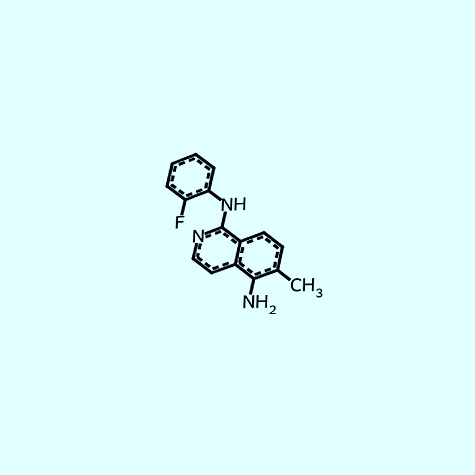 Cc1ccc2c(Nc3ccccc3F)nccc2c1N